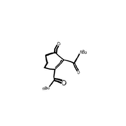 CCCCC(=O)C1=C(C(=O)CCCC)C(=O)CC1